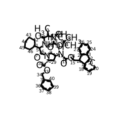 CC(C(=O)NC(C(=O)N1C[C@@H](NC(=O)OCC2c3ccccc3-c3ccccc32)C[C@H]1C(=O)OCc1ccccc1)C1CCCCC1)N(C)C(=O)OC(C)(C)C